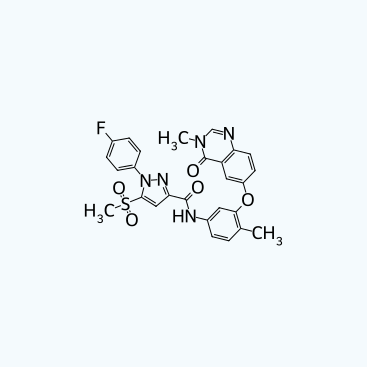 Cc1ccc(NC(=O)c2cc(S(C)(=O)=O)n(-c3ccc(F)cc3)n2)cc1Oc1ccc2ncn(C)c(=O)c2c1